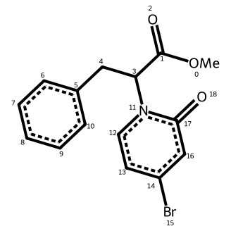 COC(=O)C(Cc1ccccc1)n1ccc(Br)cc1=O